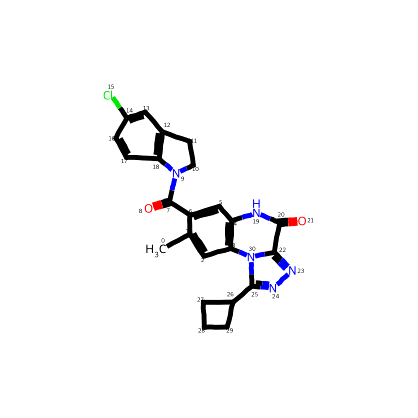 Cc1cc2c(cc1C(=O)N1CCc3cc(Cl)ccc31)[nH]c(=O)c1nnc(C3CCC3)n12